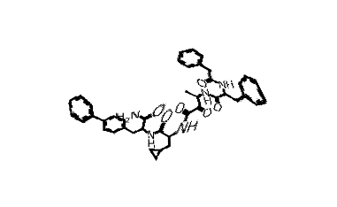 CC(NC(=O)C(Cc1ccccc1)NC(=O)Cc1ccccc1)C(=O)C(=O)NC(CC1CC1)C(=O)NC(Cc1ccc(-c2ccccc2)cc1)C(N)=O